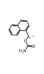 C[C@H](OC(N)=O)c1cccc2ccccc12